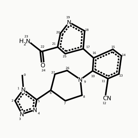 Cn1cnnc1C1CCN(c2c(C#N)cccc2-c2cncc(C(N)=O)c2)CC1